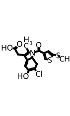 CSc1cc(C(=O)N2C(C)=C(CC(=O)O)C3=CC(O)=C(Cl)CC32)cs1